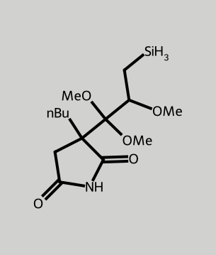 CCCCC1(C(OC)(OC)C(C[SiH3])OC)CC(=O)NC1=O